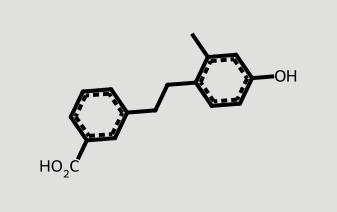 Cc1cc(O)ccc1CCc1cccc(C(=O)O)c1